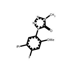 COc1cc(F)c(C(C)C)cc1-n1nnn(C)c1=O